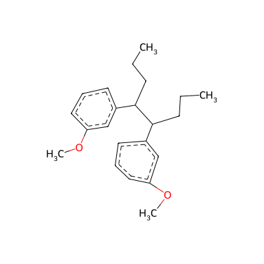 CCCC(c1cccc(OC)c1)C(CCC)c1cccc(OC)c1